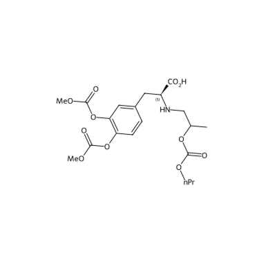 CCCOC(=O)OC(C)CN[C@@H](Cc1ccc(OC(=O)OC)c(OC(=O)OC)c1)C(=O)O